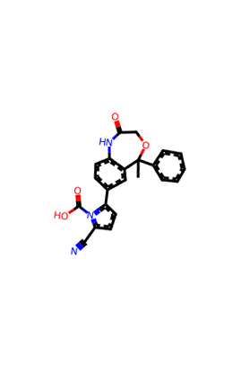 CC1(c2ccccc2)OCC(=O)Nc2ccc(-c3ccc(C#N)n3C(=O)O)cc21